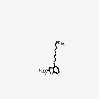 CCCCCCCCCCCCCCCCOc1cccc2oc(C(=O)O)cc12